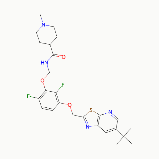 CN1CCC(C(=O)NCOc2c(F)ccc(OCc3nc4cc(C(C)(C)C)cnc4s3)c2F)CC1